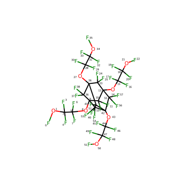 FOC(F)(F)C(F)(F)OC12C(F)(F)C3(OC(F)(F)C(F)(F)OF)C(F)(F)C(OC(F)(F)C(F)(F)OF)(C1(F)F)C(F)(F)C(OC(F)(F)C(F)(F)OF)(C2(F)F)C3(F)F